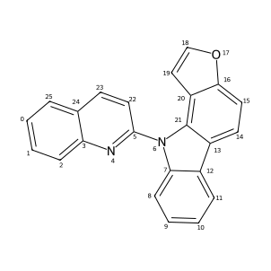 c1ccc2nc(-n3c4ccccc4c4ccc5occc5c43)ccc2c1